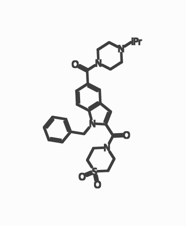 CC(C)N1CCN(C(=O)c2ccc3c(c2)cc(C(=O)N2CCS(=O)(=O)CC2)n3Cc2ccccc2)CC1